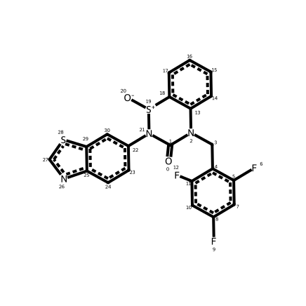 O=C1N(Cc2c(F)cc(F)cc2F)c2ccccc2[S+]([O-])N1c1ccc2ncsc2c1